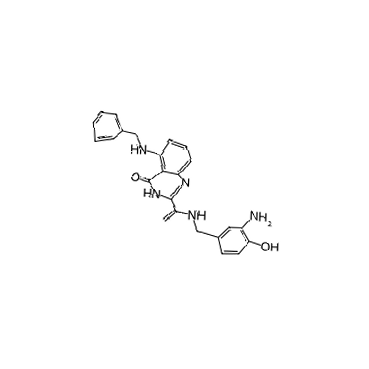 C=C(NCc1ccc(O)c(N)c1)c1nc2cccc(NCc3ccccc3)c2c(=O)[nH]1